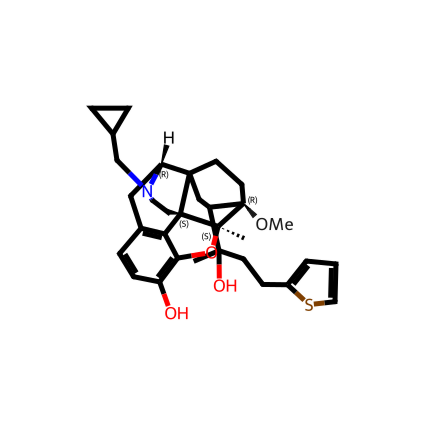 CO[C@]12CCC3(CC1C(C)(O)CCc1cccs1)[C@H]1Cc4ccc(O)c5c4[C@@]3(CCN1CC1CC1)[C@]2(C)O5